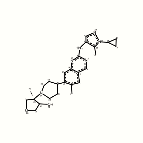 Cc1cc2cnc(Nc3cnn(C4CC4)c3C)nc2cc1C1CCN([C@]2(C)COCC2O)CC1